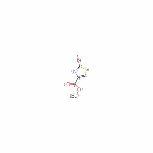 CC(C)(C)OC(=O)c1csc(Br)n1